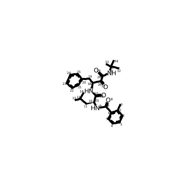 Cc1ccccc1C(=O)N[C@@H](CC(C)C)C(=O)NC(Cc1ccccc1)C(=O)C(=O)NC(C)(C)C